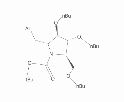 CCCCOC[C@@H]1[C@@H](OCCCC)[C@H](OCCCC)[C@@H](CC(C)=O)N1C(=O)OC(C)(C)C